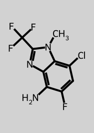 Cn1c(C(F)(F)F)nc2c(N)c(F)cc(Cl)c21